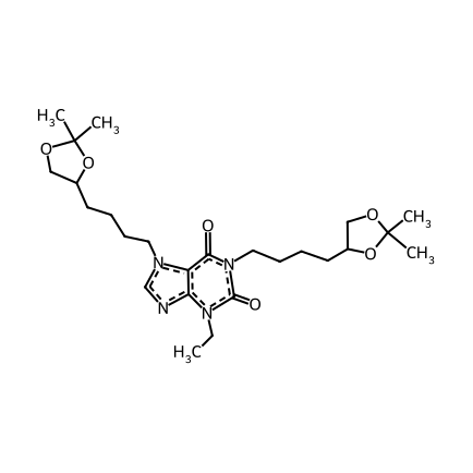 CCn1c(=O)n(CCCCC2COC(C)(C)O2)c(=O)c2c1ncn2CCCCC1COC(C)(C)O1